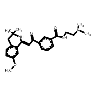 COc1ccc2c(c1)/C(=C/C(=O)c1cccc(C(=O)NCCN(C)C)c1)NC(C)(C)C2